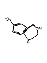 CC(C)(C)c1ccc2c(c1)CNCCN2